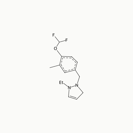 CCN1C=CCN1Cc1ccc(OC(F)F)c(C)c1